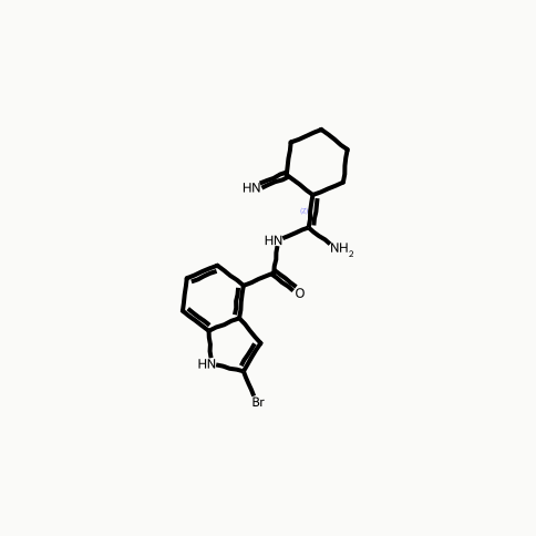 N=C1CCCC/C1=C(\N)NC(=O)c1cccc2[nH]c(Br)cc12